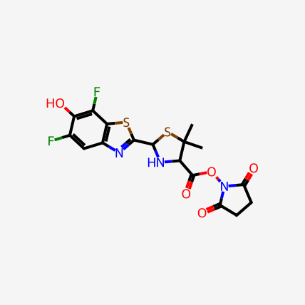 CC1(C)SC(c2nc3cc(F)c(O)c(F)c3s2)NC1C(=O)ON1C(=O)CCC1=O